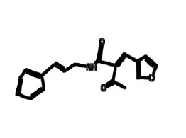 CC(=O)C(=Cc1ccoc1)C(=O)NCC=Cc1ccccc1